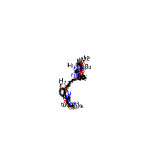 C=C1/C=C\C=C/C[C@H](NC(=O)[C@@H]2CCCN2C(=O)[C@@H](NC(=O)[C@H](C)NC)C(C)(C)C)[C@H](OCCCCCCO[C@@H]2Cc3ccccc3[C@@H]2NC(=O)[C@@H]2CCCN2C(=O)[C@@H](NC(=O)[C@H](C)NC)C(C)(C)C)C1